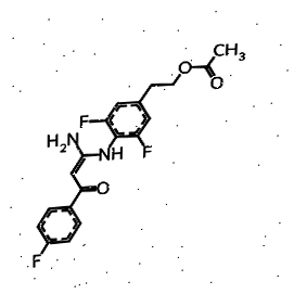 CC(=O)OCCc1cc(F)c(N/C(N)=C\C(=O)c2ccc(F)cc2)c(F)c1